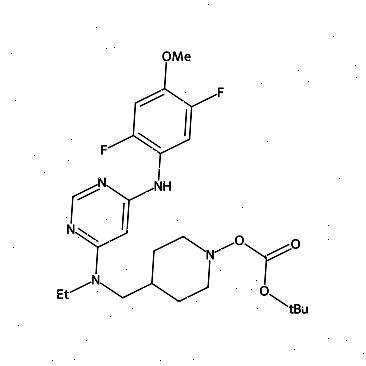 CCN(CC1CCN(OC(=O)OC(C)(C)C)CC1)c1cc(Nc2cc(F)c(OC)cc2F)ncn1